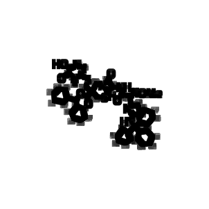 CON=C(C(=O)NC1C(=O)N2CC(CSc3nnc(O)c(=O)n3C)(C(=O)OC(c3ccccc3)c3ccccc3)CS[C@H]12)c1csc(NC(c2ccccc2)(c2ccccc2)c2ccccc2)n1